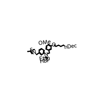 Br.CCCCCCCCCCCCCCOc1cc(CN(C(=O)CC)c2cccc(CN3C=C(C)SC3)c2)ccc1OC